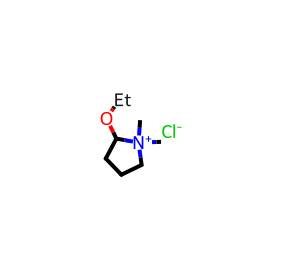 CCOC1CCC[N+]1(C)C.[Cl-]